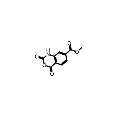 COC(=O)c1ccc2c(=O)oc(=O)[nH]c2c1